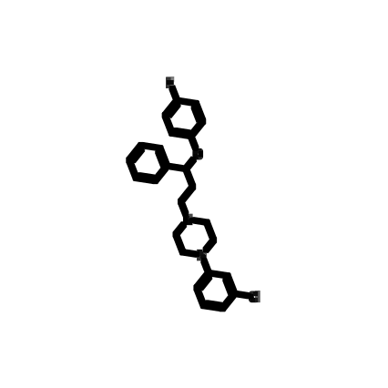 Fc1ccc(OC(CCN2CCN(c3cccc(Cl)c3)CC2)c2ccccc2)cc1